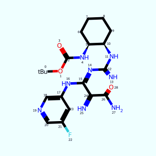 CC(C)(C)OC(=O)N[C@H]1CCCC[C@H]1NC(=N)/N=C(/Nc1cncc(F)c1)C(=N)C(N)=O